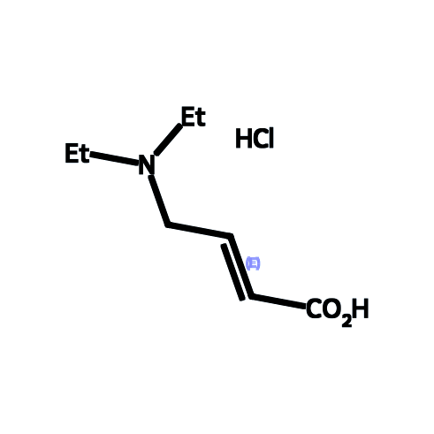 CCN(CC)C/C=C/C(=O)O.Cl